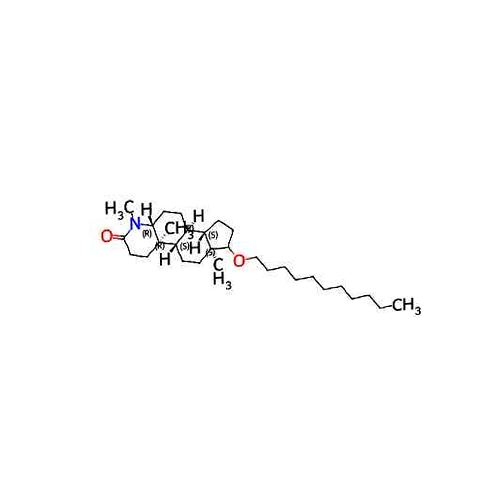 CCCCCCCCCCCOC1CC[C@H]2[C@@H]3CC[C@H]4N(C)C(=O)CC[C@]4(C)[C@H]3CC[C@]12C